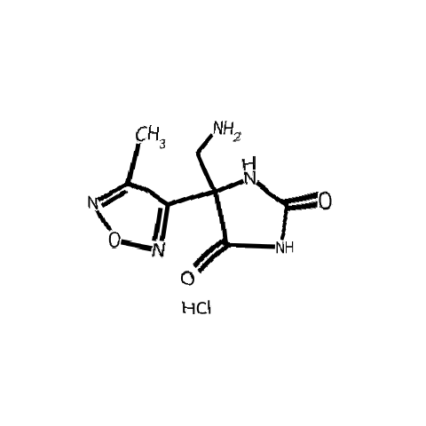 Cc1nonc1C1(CN)NC(=O)NC1=O.Cl